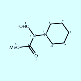 COC(=O)N([C]=O)N1CCCCC1